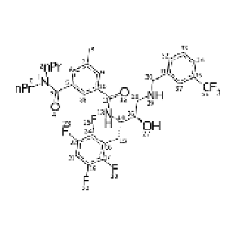 CCCN(CCC)C(=O)c1cc(C)cc(C(=O)N[C@@H](Cc2c(F)c(F)cc(F)c2F)[C@H](O)CNCc2cccc(C(F)(F)F)c2)c1